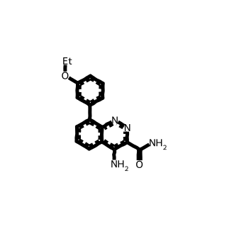 CCOc1cccc(-c2cccc3c(N)c(C(N)=O)nnc23)c1